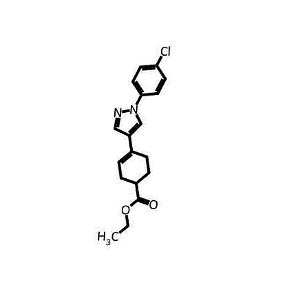 CCOC(=O)C1CC=C(c2cnn(-c3ccc(Cl)cc3)c2)CC1